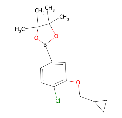 CC1(C)OB(c2ccc(Cl)c(OCC3CC3)c2)OC1(C)C